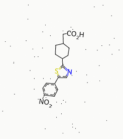 O=C(O)CC1CCC(c2ncc(-c3ccc([N+](=O)[O-])cc3)s2)CC1